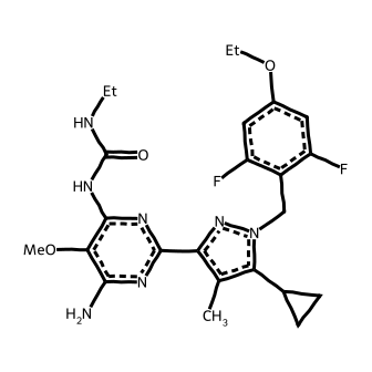 CCNC(=O)Nc1nc(-c2nn(Cc3c(F)cc(OCC)cc3F)c(C3CC3)c2C)nc(N)c1OC